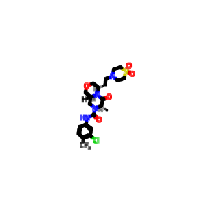 C[C@H]1C(=O)N2[C@@H](CCN3CCS(=O)(=O)CC3)COC[C@H]2CN1C(=O)Nc1ccc(C(F)(F)F)c(Cl)c1